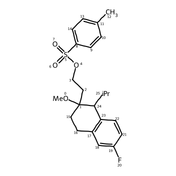 COC1(CCOS(=O)(=O)c2ccc(C)cc2)CCc2cc(F)ccc2C1C(C)C